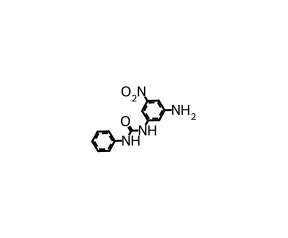 Nc1cc(NC(=O)Nc2ccccc2)cc([N+](=O)[O-])c1